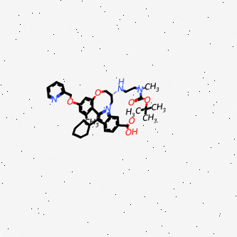 Cc1cc(OCc2ccccn2)cc2c1-c1c(C3CCCCC3)c3ccc(C(=O)O)cc3n1C[C@@H](NCCN(C)C(=O)OC(C)(C)C)CO2